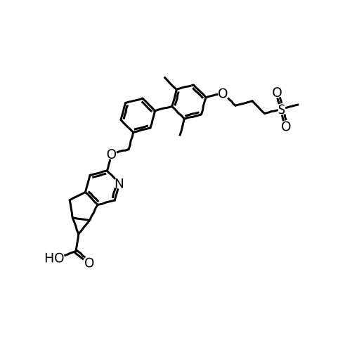 Cc1cc(OCCCS(C)(=O)=O)cc(C)c1-c1cccc(COc2cc3c(cn2)C2C(C3)C2C(=O)O)c1